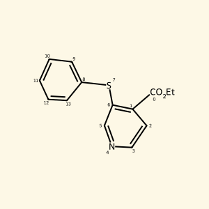 CCOC(=O)c1ccncc1Sc1ccccc1